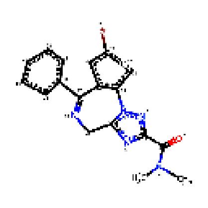 CN(C)C(=O)c1nc2n(n1)-c1ccc(Br)cc1C(c1ccccc1)=NC2